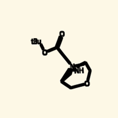 CC(C)(C)OC(=O)N1CC2CNCC(COC2)C1